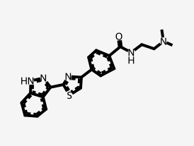 CN(C)CCNC(=O)c1ccc(-c2csc(-c3n[nH]c4ccccc34)n2)cc1